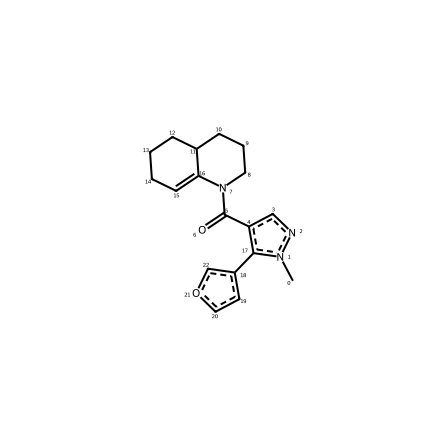 Cn1ncc(C(=O)N2CCCC3CCCC=C32)c1-c1ccoc1